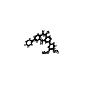 COc1cc(-c2ccc3c(c2)Nc2cc(N4CCCCC4)ccc2NC3=O)ccc1[N+](=O)[O-]